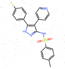 Cc1ccc(S(=O)(=O)Nc2n[nH]c(-c3ccc(F)cc3)c2-c2ccncc2)cc1